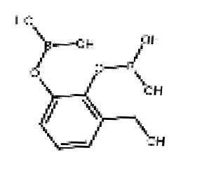 OCc1cccc(OB(O)O)c1OB(O)O